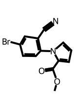 COC(=O)c1cccn1-c1ccc(Br)cc1C#N